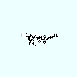 COCCS(=O)(=O)c1nc(Nc2nc(C)cc(C)n2)ns1